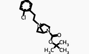 CC(C)(C)OC(=O)N1CC2CC1CN2CCc1ccccc1Cl